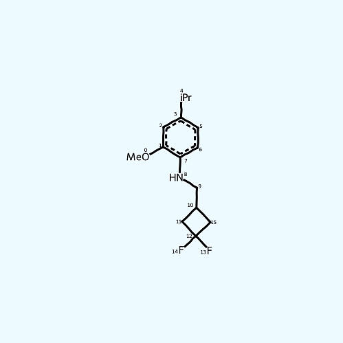 COc1cc(C(C)C)ccc1NCC1CC(F)(F)C1